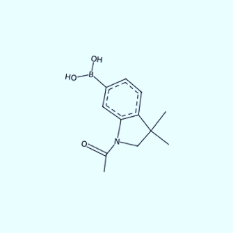 CC(=O)N1CC(C)(C)c2ccc(B(O)O)cc21